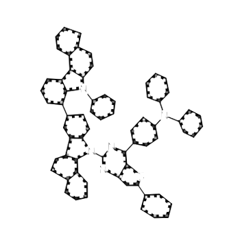 c1ccc(-c2cc3nc(-n4c5ccc(-c6cccc7c8c9ccccc9ccc8n(-c8ccccc8)c67)cc5c5ccc6ccccc6c54)nc(-c4ccc(N(c5ccccc5)c5ccccc5)cc4)c3s2)cc1